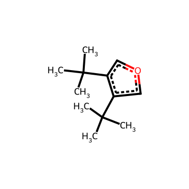 CC(C)(C)c1cocc1C(C)(C)C